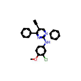 C#Cc1cnc(Nc2ccc(OC)c(Cl)c2)nc1-c1ccccc1.c1ccccc1